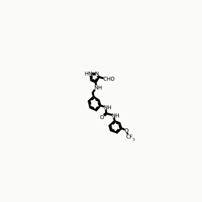 O=Cc1n[nH]cc1NCc1cccc(NC(=O)Nc2cccc(OC(F)(F)F)c2)c1